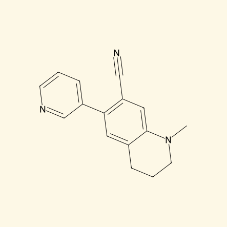 CN1CCCc2cc(-c3cccnc3)c(C#N)cc21